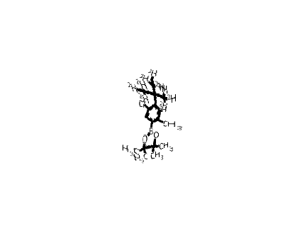 [2H]c1c(C)c(B2OC(C)(C)C(C)(C)O2)cc(Cl)c1C(C([2H])([2H])[2H])(C([2H])([2H])[2H])C([2H])([2H])[2H]